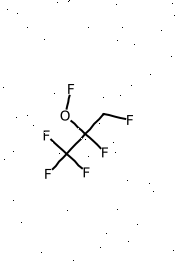 FCC(F)(OF)C(F)(F)F